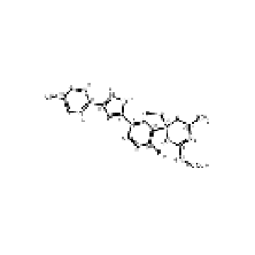 O=C(O)NC1=N[C@H](C(F)(F)F)C[C@@](CF)(c2cc(-c3cc(-c4ncc(Cl)cn4)no3)ccc2F)O1